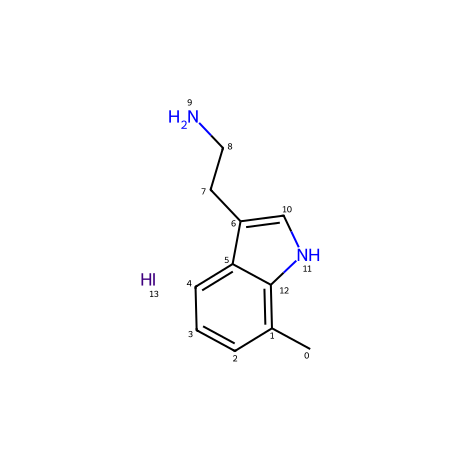 Cc1cccc2c(CCN)c[nH]c12.I